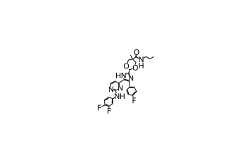 CCCNC(=O)C1(C)COC(c2nc(-c3ccc(F)cc3)c(-c3ccnc(Nc4ccc(F)c(F)c4)n3)[nH]2)OC1